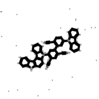 N#Cc1ccc(-n2c3ccccc3c3ccccc32)cc1-c1cc(-n2c3ccccc3c3c4c(ccc32)oc2ccccc24)c(C#N)cc1C#N